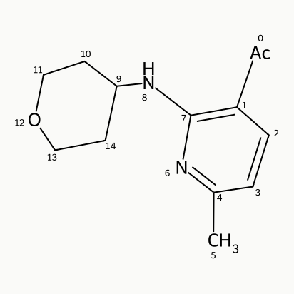 CC(=O)c1ccc(C)nc1NC1CCOCC1